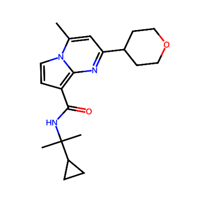 Cc1cc(C2CCOCC2)nc2c(C(=O)NC(C)(C)C3CC3)ccn12